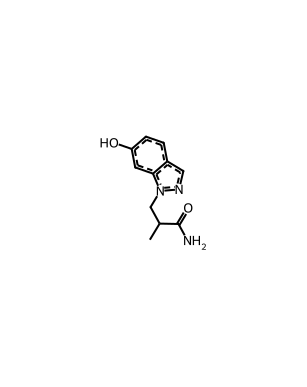 CC(Cn1ncc2ccc(O)cc21)C(N)=O